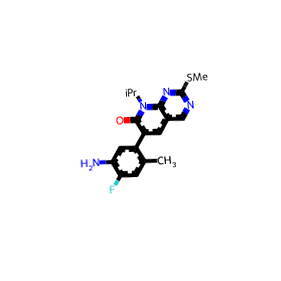 CSc1ncc2cc(-c3cc(N)c(F)cc3C)c(=O)n(C(C)C)c2n1